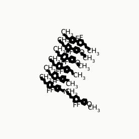 CCCCC1CCC(c2ccc(C#N)cc2)C(F)(F)C1.CCCCC1CCC(c2ccc(CC)cc2)C(F)(F)C1.CCCCC1CCC(c2ccc(CCC)cc2)C(F)(F)C1.CCCCC1CCC(c2ccc(OC)cc2)C(F)(F)C1.CCCCC1CCC(c2ccc(OCC)cc2)C(F)(F)C1.CCCCC1CCC(c2ccc(OCCC)cc2)C(F)(F)C1.CCCCc1ccc(C2CCC(CCCC)CC2(F)F)cc1